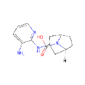 Nc1cccnc1NC1CC2CC[C@@H](C1)N2C(=O)O